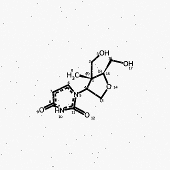 C[C@]1(CO)C(n2ccc(=O)[nH]c2=O)CO[C@@H]1CO